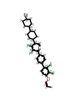 C/C=C\Oc1ccc(-c2ccc(-c3ccc(C4CCC(C5CCC(CC)CC5)CC4)c(F)c3F)cc2)c(F)c1F